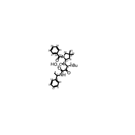 CCCC[C@@H](C(=O)C(=O)NC(C)c1ccccc1)N(C(=O)O)C1CC(C)(C)CN1C(=O)c1ccccc1